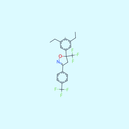 CCc1[c]c(CC)cc(C2(C(F)(F)F)CC(c3ccc(C(F)(F)F)cc3)=NO2)c1